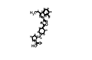 CCc1nn(-c2noc(C3CCN(C[C@@H]4CCCN4C(=O)O)CC3)n2)c2c(F)cccc12